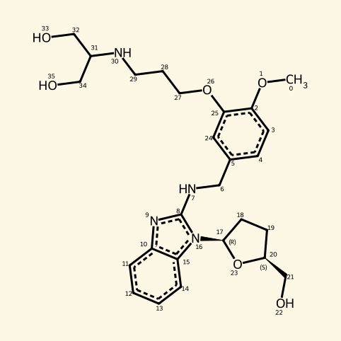 COc1ccc(CNc2nc3ccccc3n2[C@H]2CC[C@@H](CO)O2)cc1OCCCNC(CO)CO